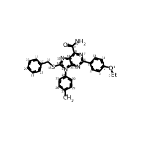 CCOc1ccc(-c2nc(C(N)=O)c3nc(SCc4ccccc4)n(-c4ccc(C)cc4)c3n2)cc1